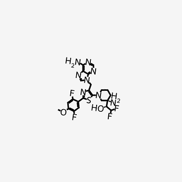 COc1cc(F)c(-c2nc(Cn3cnc4c(N)ncnc43)c(N3CCC[C@](N)([C@H](O)C(F)F)C3)s2)cc1F